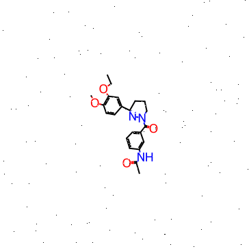 CCOc1cc(C2=NN(C(=O)c3cccc(NC(C)=O)c3)CCC2)ccc1OC